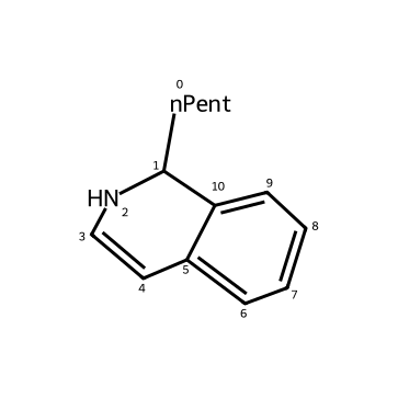 CCCCCC1NC=Cc2ccccc21